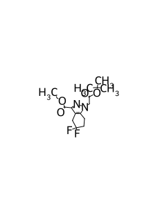 CCOC(=O)c1nn(CC(=O)OC(C)(C)C)c2c1CC(F)(F)CC2